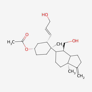 C=C1CCC2[C@H](CO)C([C@@]3(C)CC[C@H](OC(C)=O)C[C@@H]3/C=C/CO)CC[C@]12C